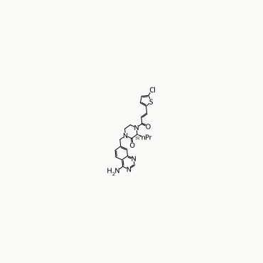 CCC[C@H]1C(=O)N(Cc2ccc3c(N)ncnc3c2)CCN1C(=O)C=Cc1ccc(Cl)s1